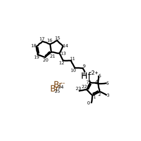 CC1=C(C)C(C)(C)[C]([Hf+2][CH2]CCCC2CCC3CC=CC=C32)=C1C.[Br-].[Br-]